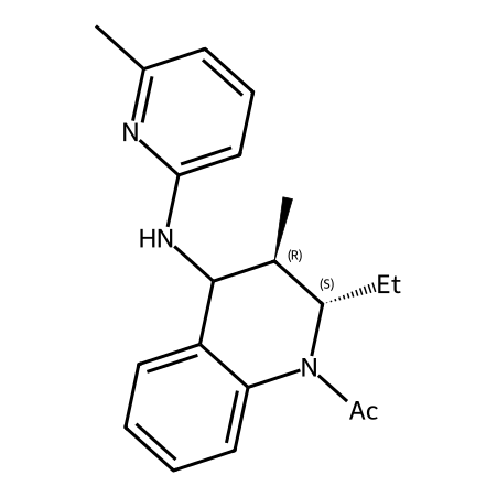 CC[C@H]1[C@H](C)C(Nc2cccc(C)n2)c2ccccc2N1C(C)=O